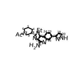 CCn1c([C@H]2CCCN(C(C)=O)C2)nc2c(N)nc3cc(-c4cc[nH]n4)ccc3c21